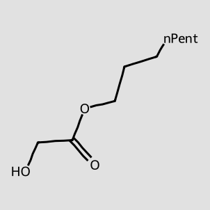 CCCCCCCCOC(=O)CO